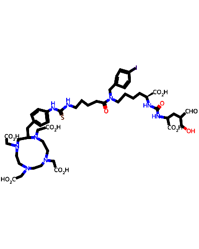 O=CC(CO)CC(NC(=O)N[C@@H](CCCCN(Cc1ccc(I)cc1)C(=O)CCCCNC(=S)Nc1ccc(CC2CN(CC(=O)O)CCN(CC(=O)O)CCN(CC(=O)O)CCN2CC(=O)O)cc1)C(=O)O)C(=O)O